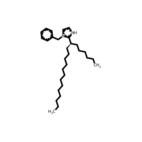 CCCCCCCCCCCCC[C@H](CCCCCC)c1[nH]cc[n+]1Cc1ccccc1